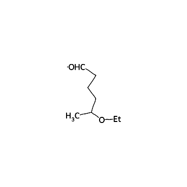 CCOC(C)CCC[C]=O